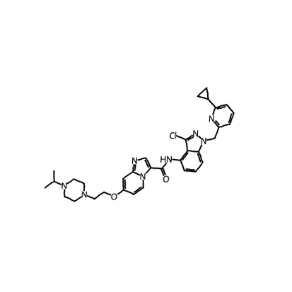 CC(C)N1CCN(CCOc2ccn3c(C(=O)Nc4cccc5c4c(Cl)nn5Cc4cccc(C5CC5)n4)cnc3c2)CC1